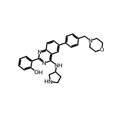 Oc1ccccc1-c1nc(NC2CCNC2)c2cc(-c3ccc(CN4CCOCC4)cc3)ccc2n1